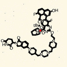 C#Cc1c(F)ccc2cc(O)cc(-c3ncc4c(N5CC6CCC(C5)N6C(=O)OC(C)(C)C)nc(OCCN5CCC(CN6CCN(CC7CCN(c8ccc9c(c8)CN(C8CCC(=O)NC8=O)C9=O)CC7)CC6)CC5)nc4c3F)c12